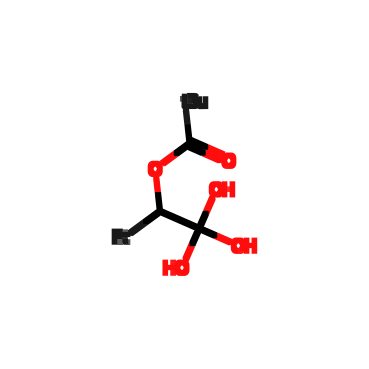 CCC(OC(=O)C(C)(C)C)C(O)(O)O